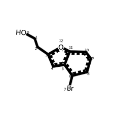 OCCc1cc2c(Br)cccc2o1